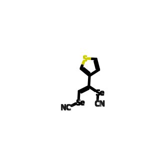 N#C[Se]C=C([Se]C#N)c1ccsc1